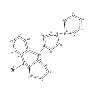 Brc1c2ccccc2c(-c2ccc(-c3ccccc3)cc2)c2ccccc12